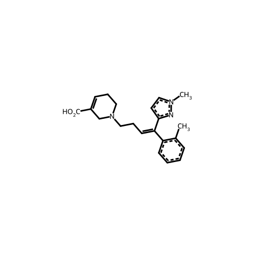 Cc1ccccc1C(=CCCN1CCC=C(C(=O)O)C1)c1ccn(C)n1